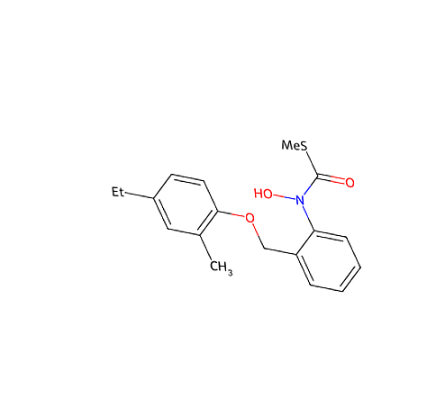 CCc1ccc(OCc2ccccc2N(O)C(=O)SC)c(C)c1